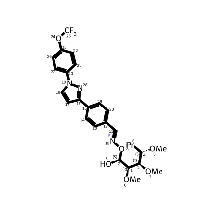 CO[C@H]([C@H](OC)[C@@H](OC)C(C)C)[C@@H](O)O/N=C/c1ccc(-c2ccn(-c3ccc(OC(F)(F)F)cc3)n2)cc1